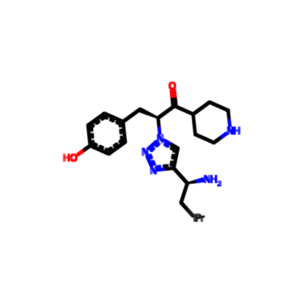 CC(C)C[C@H](N)c1cn([C@@H](Cc2ccc(O)cc2)C(=O)C2CCNCC2)nn1